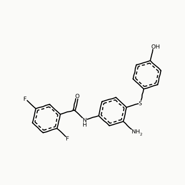 Nc1cc(NC(=O)c2cc(F)ccc2F)ccc1Sc1ccc(O)cc1